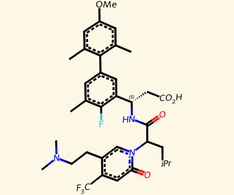 COc1cc(C)c(-c2cc(C)c(F)c([C@H](CC(=O)O)NC(=O)C(CC(C)C)n3cc(CCN(C)C)c(C(F)(F)F)cc3=O)c2)c(C)c1